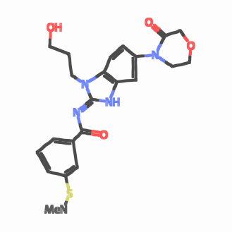 CNSc1cccc(C(=O)/N=c2\[nH]c3cc(N4CCOCC4=O)ccc3n2CCCO)c1